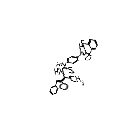 CC(NC(=S)Nc1ccc(NC(=O)c2ccccc2F)cc1)c1cc2ccccc2o1